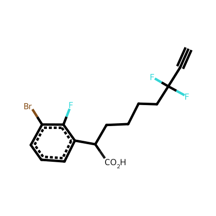 C#CC(F)(F)CCCCC(C(=O)O)c1cccc(Br)c1F